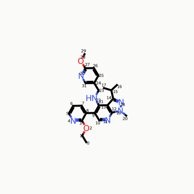 CCOc1ncccc1-c1cnc2c(c(C(C)C)nn2C)c1NCc1ccc(OC)nc1